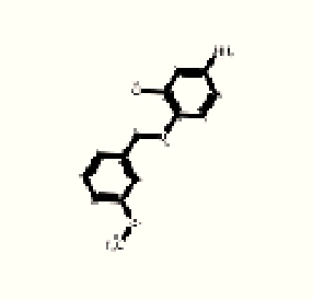 Nc1ccc(OCc2cccc(OC(F)(F)F)c2)c(Cl)c1